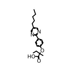 CCCCCc1cnc(-c2ccc(OC(C)(CC)C(=O)O)cc2)nc1